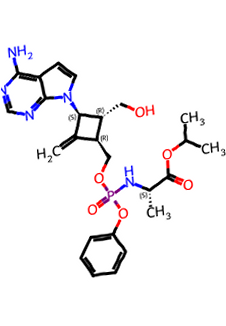 C=C1[C@@H](n2ccc3c(N)ncnc32)[C@H](CO)[C@H]1COP(=O)(N[C@@H](C)C(=O)OC(C)C)Oc1ccccc1